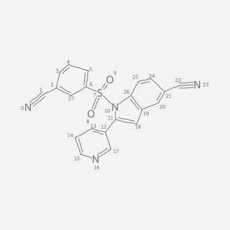 N#Cc1cccc(S(=O)(=O)n2c(-c3cccnc3)cc3cc(C#N)ccc32)c1